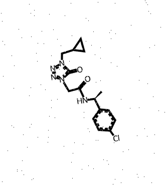 C[C@H](NC(=O)Cn1nnn(CC2CC2)c1=O)c1ccc(Cl)cc1